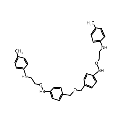 Cc1ccc(NCCOBc2ccc(COCc3ccc(BOCCNc4ccc(C)cc4)cc3)cc2)cc1